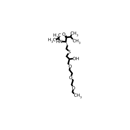 CCOCCOCCOCC(O)CSCC[C@H](NC(C)C)C(=O)C(C)C